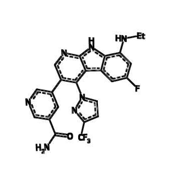 CCNc1cc(F)cc2c1[nH]c1ncc(-c3cncc(C(N)=O)c3)c(-n3ccc(C(F)(F)F)n3)c12